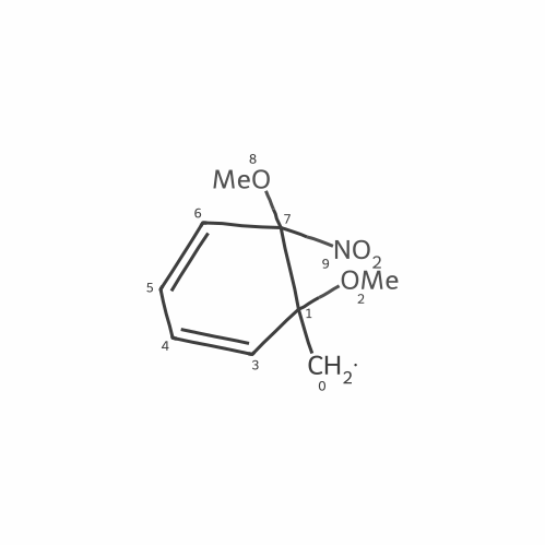 [CH2]C1(OC)C=CC=CC1(OC)[N+](=O)[O-]